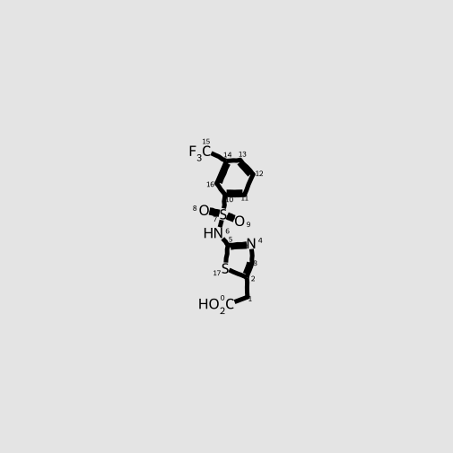 O=C(O)Cc1cnc(NS(=O)(=O)c2cccc(C(F)(F)F)c2)s1